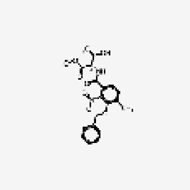 COC(=O)[C@@H](NC(=O)c1ccc(C)c(OCc2ccccc2)c1[N+](=O)[O-])C(C)O